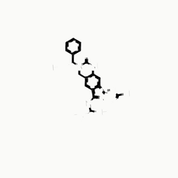 C[C@H](c1ccccc1)N1Cc2cc3c(N[C@@H](C)C(F)(F)F)nn(OC(=O)C(F)(F)F)c3cc2NC1=O